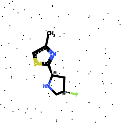 Cc1csc([C@H]2C[C@H](F)CN2)n1